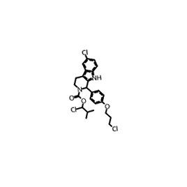 CC(C)C(Cl)OC(=O)N1CCc2c([nH]c3ccc(Cl)cc23)C1c1ccc(OCCCCl)cc1